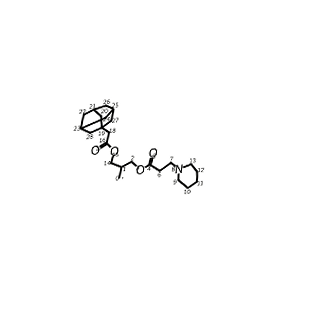 [CH2]C(COC(=O)CCN1CCCCC1)COC(=O)CC12CC3CC(CC(C3)C1)C2